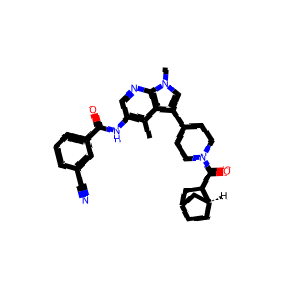 Cc1c(NC(=O)c2cccc(C#N)c2)cnc2c1c(C1CCN(C(=O)C3CC4CC[C@H]3C4)CC1)cn2C